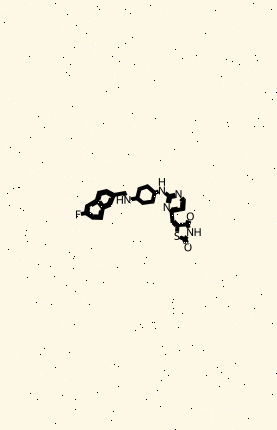 O=C1NC(=O)/C(=C\c2ccnc(NC3CCC(NCc4ccc5cc(F)ccc5c4)CC3)n2)S1